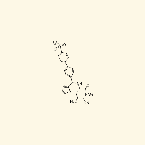 CNC(=O)[C@H](C[C@H](C)CC#N)N[C@@H](c1ccc(-c2ccc(S(C)(=O)=O)cc2)cc1)c1nccs1